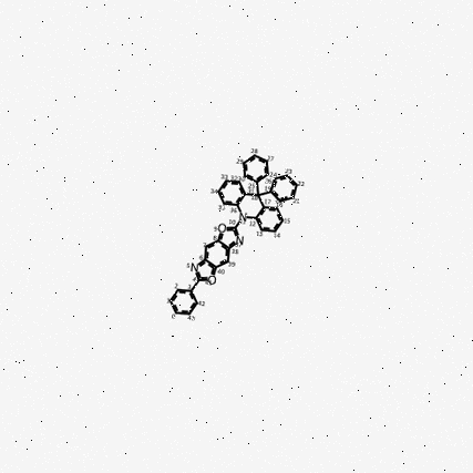 c1ccc(-c2nc3cc4oc(N5c6ccccc6C(c6ccccc6)(c6ccccc6)c6ccccc65)nc4cc3o2)cc1